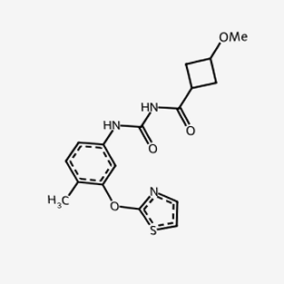 COC1CC(C(=O)NC(=O)Nc2ccc(C)c(Oc3nccs3)c2)C1